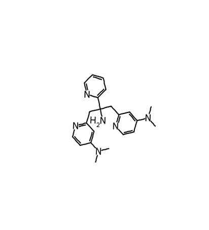 CN(C)c1ccnc(CC(N)(Cc2cc(N(C)C)ccn2)c2ccccn2)c1